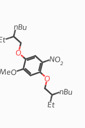 CCCCC(CC)COc1cc([N+](=O)[O-])c(OCC(CC)CCCC)cc1OC